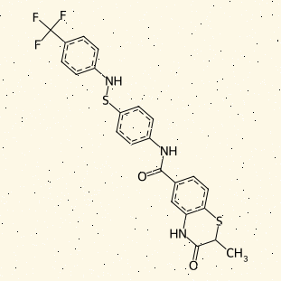 CC1Sc2ccc(C(=O)Nc3ccc(SNc4ccc(C(F)(F)F)cc4)cc3)cc2NC1=O